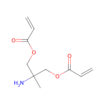 C=CC(=O)OCC(C)(N)COC(=O)C=C